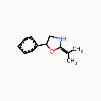 CC(C)=C1NCC(c2ccccc2)O1